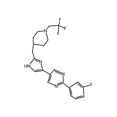 Fc1cccc(-c2ncc(-c3c[nH]c(CC4CCN(CC(F)(F)F)CC4)n3)cn2)c1